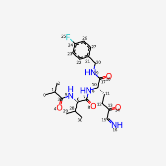 CC(C)C(=O)N[C@H](C(=O)N[C@@H](CCC(=O)C=N)C(=O)NCc1ccc(F)cc1)C(C)C